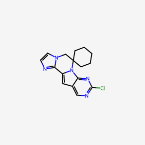 Clc1ncc2cc3n(c2n1)C1(CCCCC1)Cn1ccnc1-3